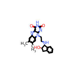 Cc1cc2nc3c(=O)[nH]c(=O)nc-3n(CCN[C@H]3c4ccccc4C[C@H]3O)c2cc1C